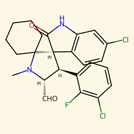 CN1[C@@H](C=O)[C@H](c2cccc(Cl)c2F)[C@]2(C(=O)Nc3cc(Cl)ccc32)C12CCCCC2